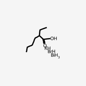 Br.CCCCC(CC)C(=O)O.[BiH3].[KH]